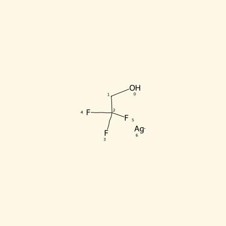 OCC(F)(F)F.[Ag]